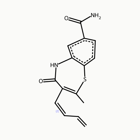 C=C/C=C\C1=C(C)Sc2ccc(C(N)=O)cc2NC1=O